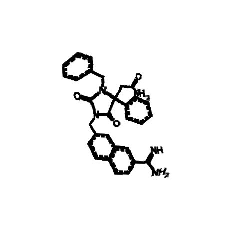 N=C(N)c1ccc2ccc(CN3C(=O)N(Cc4ccccc4)C(CC(N)=O)(c4ccccc4)C3=O)cc2c1